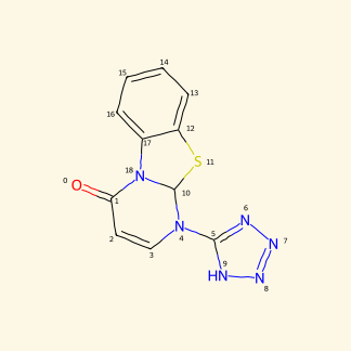 O=C1C=CN(c2nnn[nH]2)C2Sc3ccccc3N12